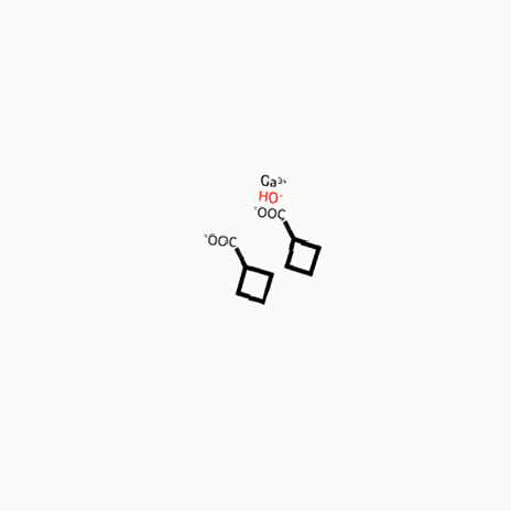 O=C([O-])C1CCC1.O=C([O-])C1CCC1.[Ga+3].[OH-]